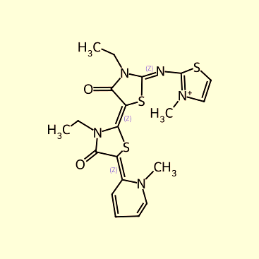 CCN1C(=O)/C(=c2/s/c(=C3/C=CC=CN3C)c(=O)n2CC)S/C1=N\c1scc[n+]1C